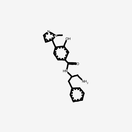 Cn1nccc1-c1ccc(C(=O)NC(CN)Cc2ccccc2)cc1O